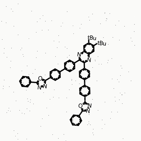 CC(C)(C)c1cc2nc(-c3ccc(-c4ccc(-c5nnc(-c6ccccc6)o5)cc4)cc3)c(-c3ccc(-c4ccc(-c5nnc(-c6ccccc6)o5)cc4)cc3)nc2cc1C(C)(C)C